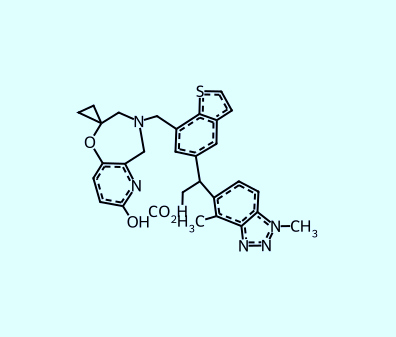 Cc1c(C(CC(=O)O)c2cc(CN3Cc4nc(O)ccc4OC4(CC4)C3)c3sccc3c2)ccc2c1nnn2C